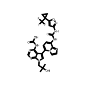 CC(C)(O)Cn1cc(-c2ccc(NC(=O)Nc3cc(C4(C(F)(F)F)CC4)on3)c3nccn23)c2c(NC(=O)O)ncnc21